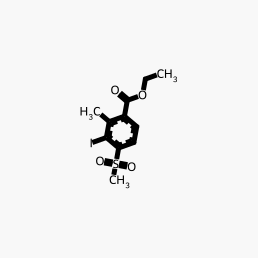 CCOC(=O)c1ccc(S(C)(=O)=O)c(I)c1C